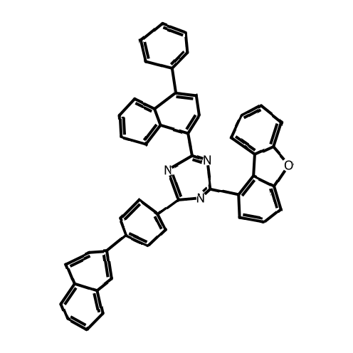 c1ccc(-c2ccc(-c3nc(-c4ccc(-c5ccc6ccccc6c5)cc4)nc(-c4cccc5oc6ccccc6c45)n3)c3ccccc23)cc1